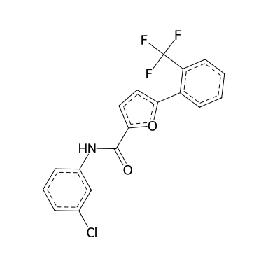 O=C(Nc1cccc(Cl)c1)c1ccc(-c2ccccc2C(F)(F)F)o1